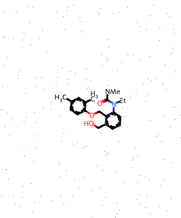 CCN(C(=O)NC)c1cccc(CO)c1COc1ccc(C)cc1C